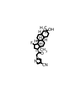 C[C@@]1(O)CC[C@H]2[C@H](CC[C@@H]3[C@@H]2CC[C@]2(C)[C@@H](C(=O)Cn4cc(C#N)cn4)CC(F)[C@@H]32)C1